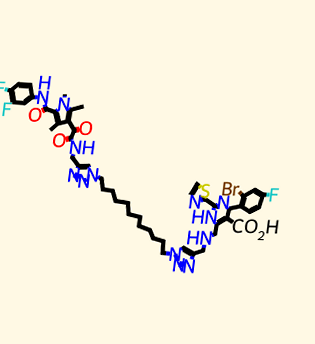 Cc1c(C(=O)C(=O)NCc2cn(CCCCCCCCCCCCn3cc(CNCC4=C(C(=O)O)C(c5ccc(F)cc5Br)N=C(c5nccs5)N4)nn3)nn2)c(C)n(C)c1C(=O)Nc1ccc(F)c(F)c1